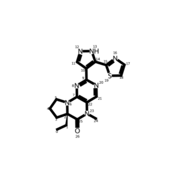 CC[C@@]12CCCN1c1nc(-c3cn[nH]c3-c3nccs3)ncc1N(C)C2=O